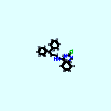 Clc1nc(NCCC(c2ccccc2)c2ccccc2)c2ccccc2n1